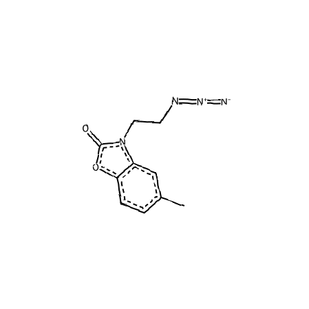 Cc1ccc2oc(=O)n(CCN=[N+]=[N-])c2c1